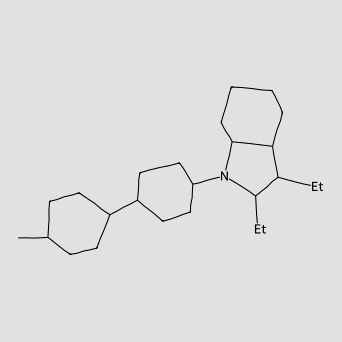 CCC1C2CCCCC2N(C2CCC(C3CCC(C)CC3)CC2)C1CC